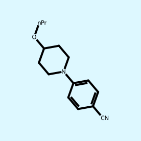 CCCOC1CCN(c2ccc(C#N)cc2)CC1